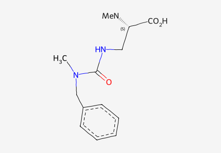 CN[C@@H](CNC(=O)N(C)Cc1ccccc1)C(=O)O